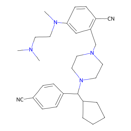 CN(C)CCN(C)c1ccc(C#N)c(CN2CCN(C(c3ccc(C#N)cc3)C3CCCC3)CC2)c1